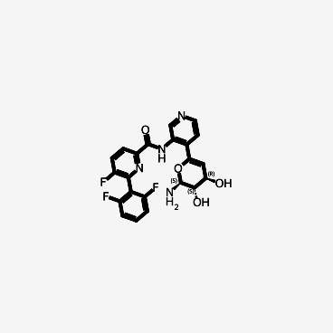 N[C@H]1OC(c2ccncc2NC(=O)c2ccc(F)c(-c3c(F)cccc3F)n2)=C[C@@H](O)[C@@H]1O